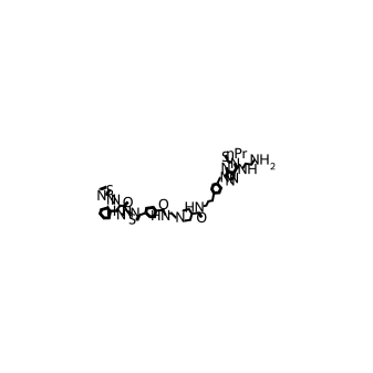 CCCSc1nc(NCCN)c2nnn(Cc3ccc(CCCNC(=O)C4CCN(CCNC(=O)c5ccc(-c6csc(N7N=C(c8ccccc8)/C(=N\Nc8nccs8)C7=O)n6)cc5)CC4)cc3)c2n1